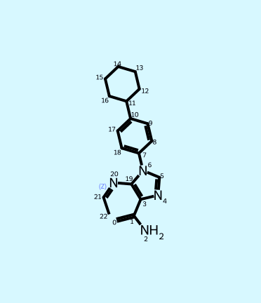 C=C(N)c1ncn(-c2ccc(C3CCCCC3)cc2)c1/N=C\C